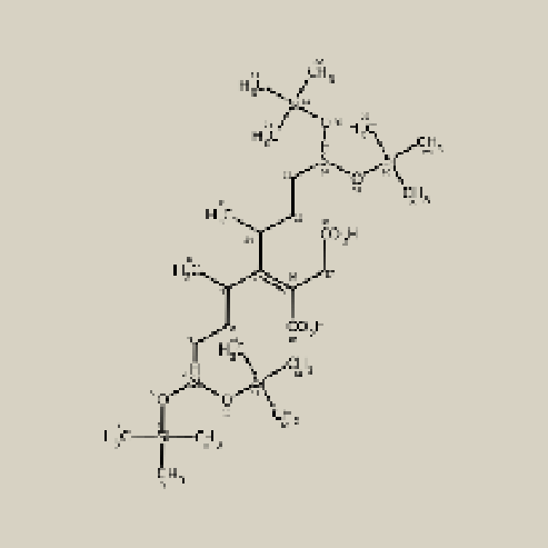 CC(CC[SiH](O[Si](C)(C)C)O[Si](C)(C)C)C(=C(CC(=O)O)C(=O)O)C(C)CC[SiH](O[Si](C)(C)C)O[Si](C)(C)C